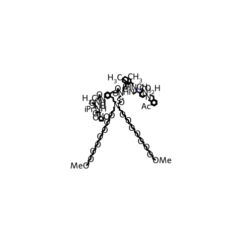 COCCOCCOCCOCCOCCOCCOCCOCCCN(CCCOCCOCCOCCOCCOCCOCCOCCOC)CCCc1cc(NC(=O)[C@H](C)NC(=O)[C@@H](NC(=O)CN2C(=O)C=CC2=O)C(C)C)ccc1COC(=O)N(CCOC12CC3(C)CC(C)(CC(CN/C(C)=C(\C=N)c4ccc(N5CCc6cccc(C(C)=O)c6C5)nc4C(=O)O)(C3)C1)C2)CC[S+]=O